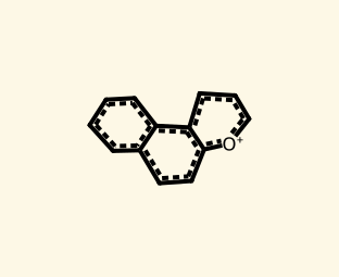 c1ccc2c(c1)ccc1[o+]cccc12